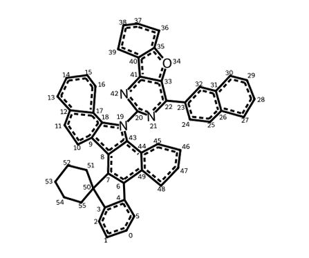 c1ccc2c(c1)-c1c(c3c4ccc5ccccc5c4n(-c4nc(-c5ccc6ccccc6c5)c5oc6ccccc6c5n4)c3c3ccccc13)C21CCCCC1